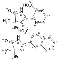 CC(C)C1(C)N=C(c2nc3ccccc3cc2C(=O)O)NC1=O.CC(C)C1(C)N=C(c2ncccc2C(=O)O)NC1=O